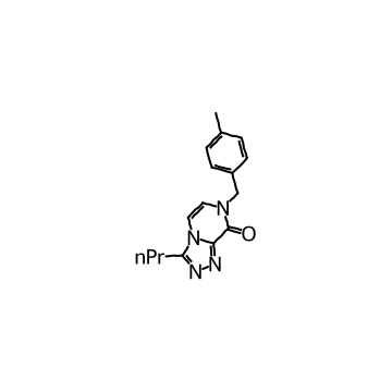 CCCc1nnc2c(=O)n(Cc3ccc(C)cc3)ccn12